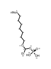 CCCCCCCCCCCCCCCCOC(CC)OP(=O)(O)O